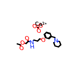 CC(=O)OCC(=O)NCCCOc1cccc(CN2CCCCC2)c1.O=C([O-])[O-].[Ca+2]